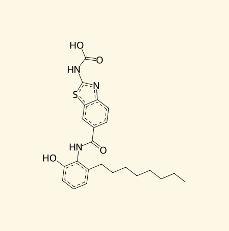 CCCCCCCCc1cccc(O)c1NC(=O)c1ccc2nc(NC(=O)O)sc2c1